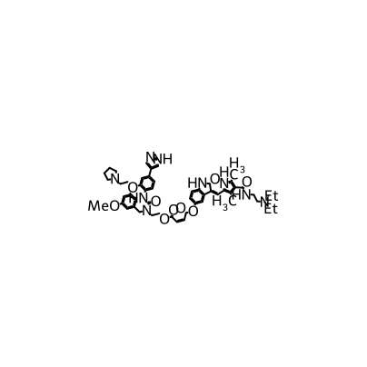 CCN(CC)CCNC(=O)c1c(C)[nH]c(/C=C2\C(=O)Nc3ccc(OC(=O)/C=C\C(=O)OCCN(Cc4cccc(OC)c4)C(=O)Nc4ccc(-c5cn[nH]c5)cc4OCCN4CCCC4)cc32)c1C